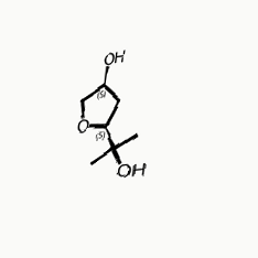 CC(C)(O)[C@@H]1C[C@H](O)CO1